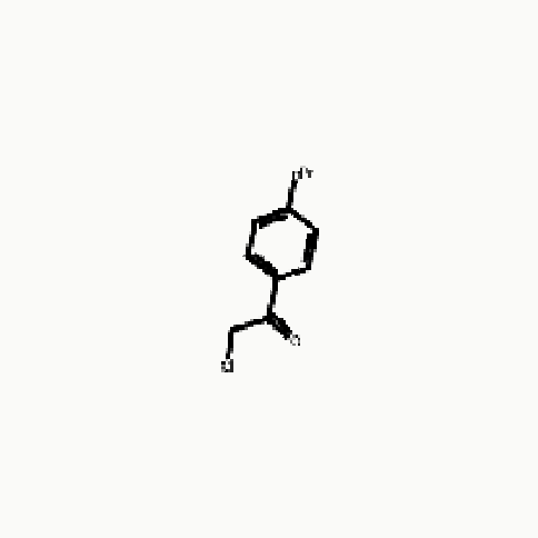 CCCc1ccc(C(=O)CCl)cc1